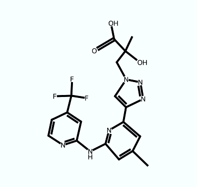 Cc1cc(Nc2cc(C(F)(F)F)ccn2)nc(-c2cn(CC(C)(O)C(=O)O)nn2)c1